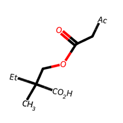 CCC(C)(COC(=O)CC(C)=O)C(=O)O